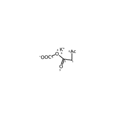 CC(=O)CC(=O)OC(=O)[O-].[K+]